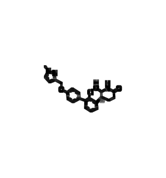 Cn1ccc(COc2ccc(-c3cccc([C@@H]4CCC(=O)NC4O)c3Cl)cc2)n1